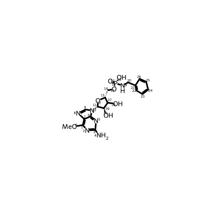 COc1nc(N)nc2c1ncn2[C@@H]1O[C@H](COP(=O)(O)NCc2ccccc2)C(O)[C@H]1O